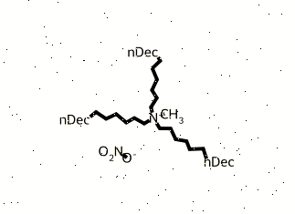 CCCCCCCCCCCCCCCC[N+](C)(CCCCCCCCCCCCCCCC)CCCCCCCCCCCCCCCC.O=[N+]([O-])[O-]